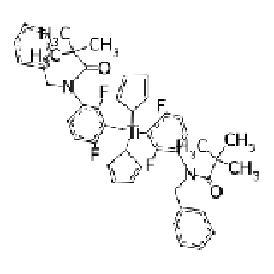 CC(C)(C)C(=O)N(Cc1ccccc1)c1ccc(F)[c]([Ti]([c]2c(F)ccc(N(Cc3ccccc3)C(=O)C(C)(C)C)c2F)([CH]2C=CC=C2)[CH]2C=CC=C2)c1F